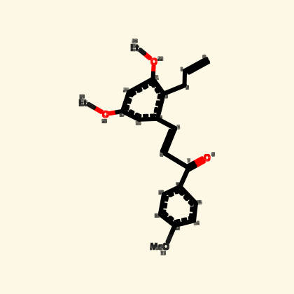 C=CCc1c(/C=C/C(=O)c2ccc(OC)cc2)cc(OCC)cc1OCC